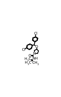 CC(C)(C)NC(=O)N1CCC(OC(c2ccc(Cl)cc2)c2ccc(Cl)cc2)C1